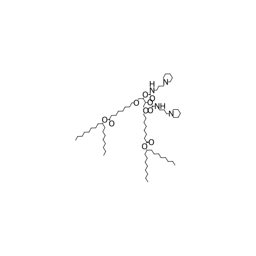 CCCCCCCCC(CCCCCCCC)OC(=O)CCCCCCCOCC(OC(=O)NCCCN1CCCCC1)C(COCCCCCCCC(=O)OC(CCCCCCCC)CCCCCCCC)OC(=O)NCCCN1CCCCC1